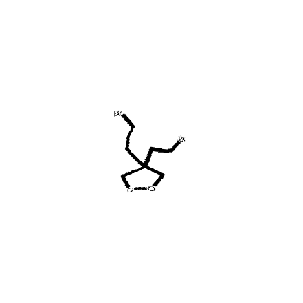 BrCCC1(CCBr)COOC1